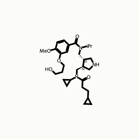 COc1ccc(C(=O)N(C[C@@H]2CNC[C@H]2CN(C(=O)CCC2CC2)C2CC2)C(C)C)cc1OCCCO